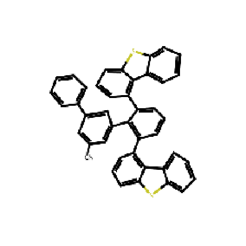 N#Cc1cc(-c2ccccc2)cc(-c2c(-c3cccc4sc5ccccc5c34)cccc2-c2cccc3sc4ccccc4c23)c1